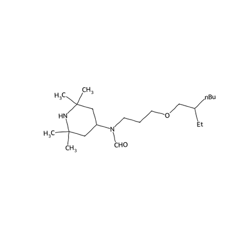 CCCCC(CC)COCCCN(C=O)C1CC(C)(C)NC(C)(C)C1